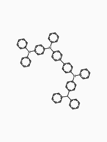 c1ccc(C(c2ccccc2)c2ccc(N(c3ccccc3)c3ccc(-c4ccc(N(c5ccccc5)c5ccc(N(c6ccccc6)c6ccccc6)cc5)cc4)cc3)cc2)cc1